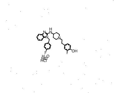 Cc1cc(CCN2CCC(Nc3nc4ccccc4n3Cc3ccc(F)cc3)CC2)ccc1O.Cl.Cl.O